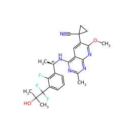 COc1nc2nc(C)nc(N[C@H](C)c3cccc(C(F)(F)C(C)(C)O)c3F)c2cc1C1(C#N)CC1